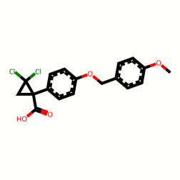 COc1ccc(COc2ccc(C3(C(=O)O)CC3(Cl)Cl)cc2)cc1